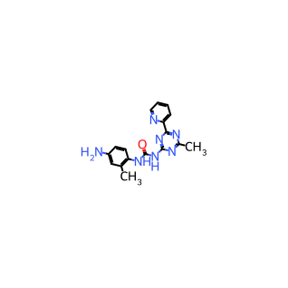 Cc1nc(NC(=O)Nc2ccc(N)cc2C)nc(-c2ccccn2)n1